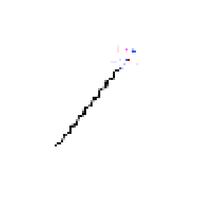 CCCCCC=CCC=CCC=CCC=CCCCNC(=O)N(C)O